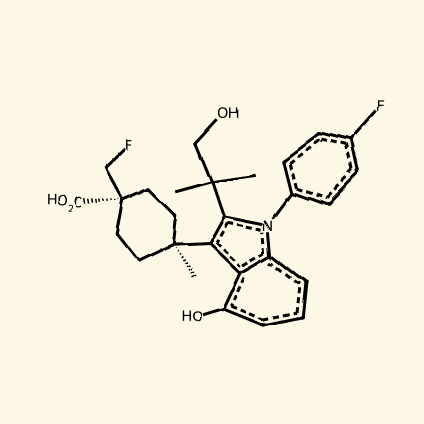 CC(C)(CO)c1c([C@]2(C)CC[C@@](CF)(C(=O)O)CC2)c2c(O)cccc2n1-c1ccc(F)cc1